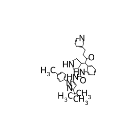 Cc1ccc(-n2nc(C(C)(C)C)cc2NC(=O)Nc2ccccc2C(C(=O)CCc2cccnc2)C2CCNCC2)cc1